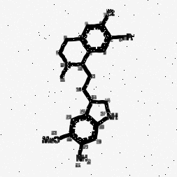 CCCc1cc2c(cc1CC)CCN(C)C2CCC1CNc2cc(N)c(OC)cc21